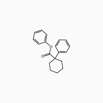 O=C(Oc1ccccc1)C1(c2ccccc2)CCCCC1